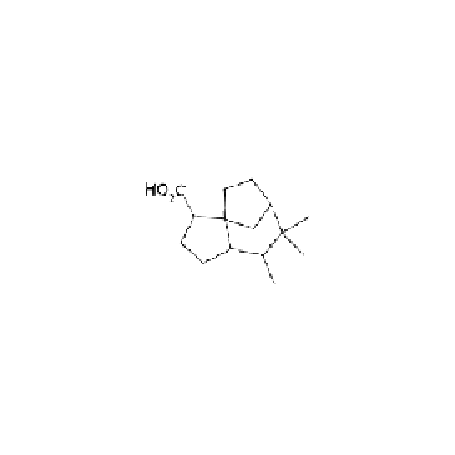 CC1C2CCC(C(=O)O)C23CCC(C3)C1(C)C